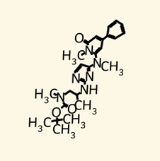 CC(CN(C)C(=O)OC(C)(C)C)Nc1nccc(N(C)c2cc(-c3ccccc3)cc(=O)n2C)n1